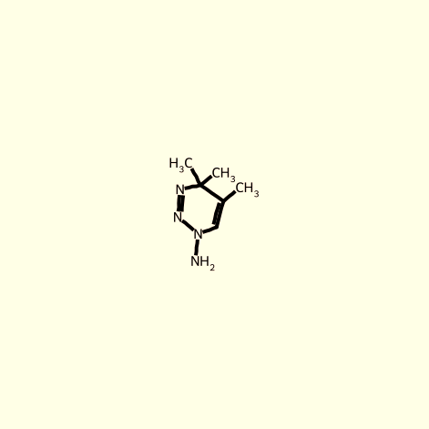 CC1=CN(N)N=NC1(C)C